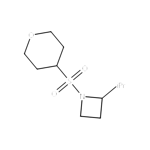 CC(C)C1CCN1S(=O)(=O)C1CCOCC1